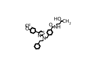 C=C(O)CCNC(=O)c1ccc(CN(CCc2ccccc2)c2nc(-c3ccc(OC(F)(F)F)cc3)cs2)cc1